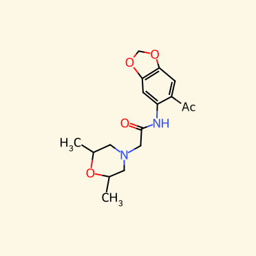 CC(=O)c1cc2c(cc1NC(=O)CN1CC(C)OC(C)C1)OCO2